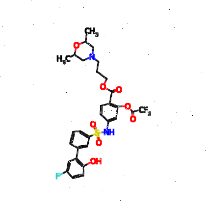 CC1CN(CCCOC(=O)c2ccc(NS(=O)(=O)c3cccc(-c4cc(F)ccc4O)c3)cc2OC(=O)C(F)(F)F)CC(C)O1